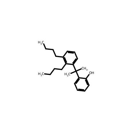 CCCCc1cccc(C(C)(C)c2ccccc2O)c1CCCC